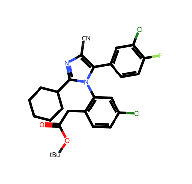 CC(C)(C)OC(=O)Cc1ccc(Cl)cc1-n1c(C2CCCCC2)nc(C#N)c1-c1ccc(F)c(Cl)c1